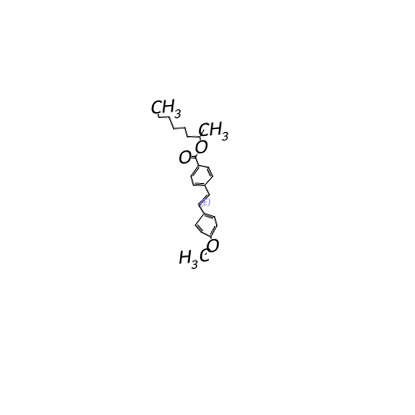 CCCCCCC(C)OC(=O)c1ccc(/C=C/c2ccc(OC)cc2)cc1